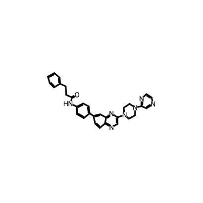 O=C(CCc1ccccc1)Nc1ccc(-c2ccc3ncc(N4CCN(c5cnccn5)CC4)nc3c2)cc1